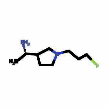 N[C@@H]([SiH3])C1CCN(CCCF)C1